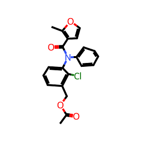 CC(=O)OCc1cccc(N(C(=O)c2ccoc2C)c2ccccc2)c1Cl